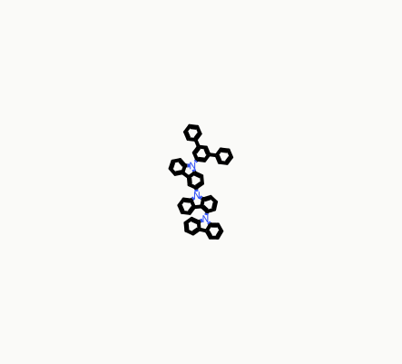 c1ccc(-c2cc(-c3ccccc3)cc(-n3c4ccccc4c4cc(-n5c6ccccc6c6c(-n7c8ccccc8c8ccccc87)cccc65)ccc43)c2)cc1